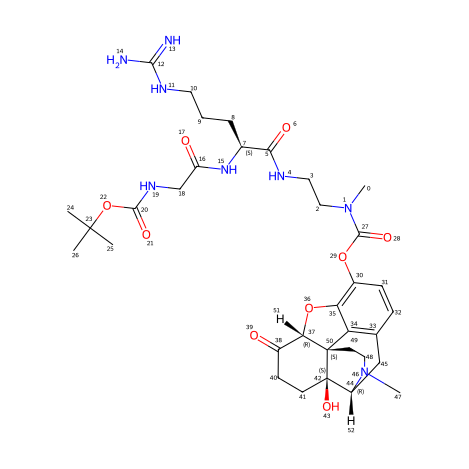 CN(CCNC(=O)[C@H](CCCNC(=N)N)NC(=O)CNC(=O)OC(C)(C)C)C(=O)Oc1ccc2c3c1O[C@H]1C(=O)CC[C@@]4(O)[C@@H](C2)N(C)CC[C@]314